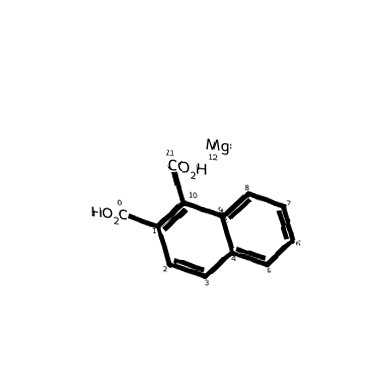 O=C(O)c1ccc2ccccc2c1C(=O)O.[Mg]